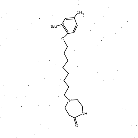 Cc1ccc(OCCCCCCCCN2CCNC(=O)CC2)c(C(C)(C)C)c1